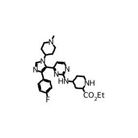 CCOC(=O)C1CC(Nc2nccc(-c3c(-c4ccc(F)cc4)ncn3C3CCN(C)CC3)n2)CCN1